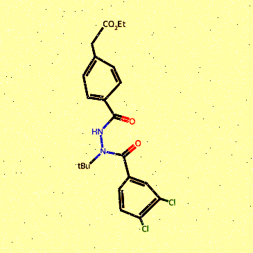 CCOC(=O)Cc1ccc(C(=O)NN(C(=O)c2ccc(Cl)c(Cl)c2)C(C)(C)C)cc1